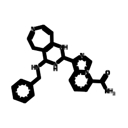 NC(=O)c1cccc2c(C3NC4=C(CC=NC=C4)C(NCc4ccccc4)N3)ncn12